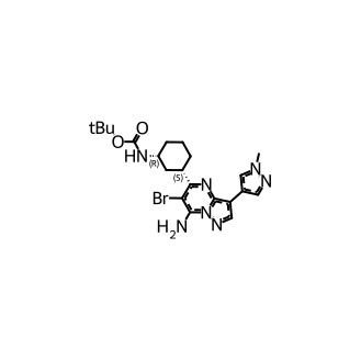 Cn1cc(-c2cnn3c(N)c(Br)c([C@H]4CCC[C@@H](NC(=O)OC(C)(C)C)C4)nc23)cn1